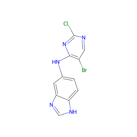 Clc1ncc(Br)c(Nc2ccc3[nH]cnc3c2)n1